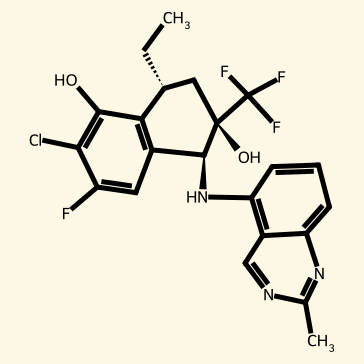 CC[C@@H]1C[C@](O)(C(F)(F)F)[C@@H](Nc2cccc3nc(C)ncc23)c2cc(F)c(Cl)c(O)c21